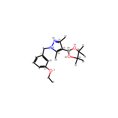 CCOc1cccc(Cn2nc(C)c(B3OC(C)(C)C(C)(C)O3)c2C)c1